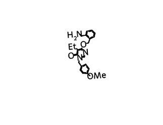 CCc1c(OCc2ccccc2CN)ncn(Cc2ccc(OC)cc2)c1=O